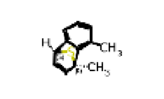 Cc1cccc2c1[C@@]1(C)C=C[C@@H]2S1